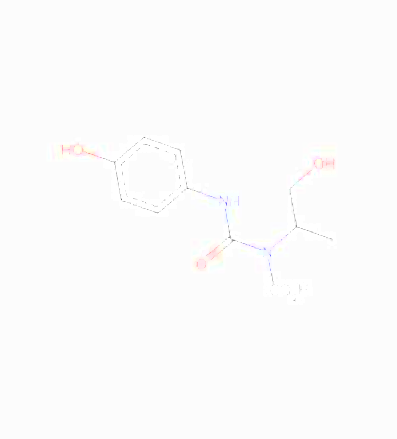 CC(CO)N(C(=O)O)C(=O)Nc1ccc(O)cc1